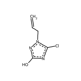 C=CCn1nc(O)nc1Cl